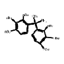 CCCCc1ccc(C(P)(CCCC)c2ccc(CCCC)c(CCCC)c2CCCC)c(CCCC)c1CCCC